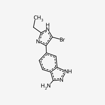 CCc1nc(-c2ccc3c(N)n[nH]c3c2)c(Br)[nH]1